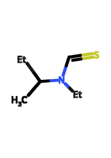 CCC(C)N(C=S)CC